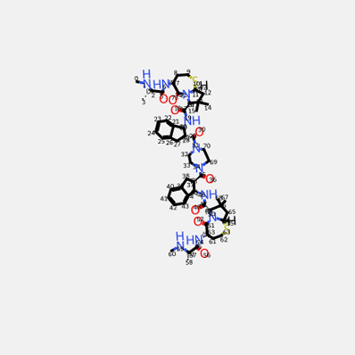 CN[C@@H](C)C(=O)N[C@H]1CCS[C@H]2CC(C)(C)[C@@H](C(=O)N[C@H]3c4ccccc4C[C@H]3C(=O)N3CCN(C(=O)[C@@H]4Cc5ccccc5[C@@H]4NC(=O)[C@H]4N5C(=O)[C@@H](NC(=O)[C@H](C)NC)CCS[C@H]5CC4(C)C)CC3)N2C1=O